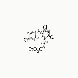 CCOC(=O)COCc1cn(Cc2ccc(Cl)cc2)c(Cl)nc1=O